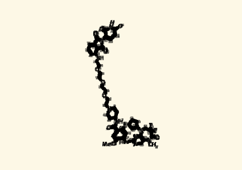 COc1cc(C(=O)NC2CCN(CCOCCOCCOCCNc3cccc4c3C(=O)N(C3CCC(=O)NC3=O)C4=O)CC2)c(F)cc1Nc1ncc2c(n1)N(C1CCCC1)CC(F)(F)C(=O)N2C